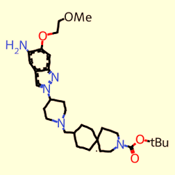 COCCOc1cc2nn(C3CCN(CC4CCC5([CH]CN(C(=O)OC(C)(C)C)CC5)CC4)CC3)cc2cc1N